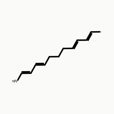 [CH2]C=CC=CCCCC=CC=CCCC